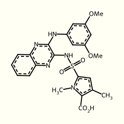 COc1cc(Nc2nc3ccccc3nc2NS(=O)(=O)c2cc(C)c(C(=O)O)n2C)cc(OC)c1